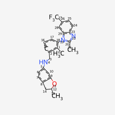 Cc1c(CNc2ccc3c(c2)OC(C)[CH]3)cccc1-n1c(C)nc2ccc(C(F)(F)F)cc21